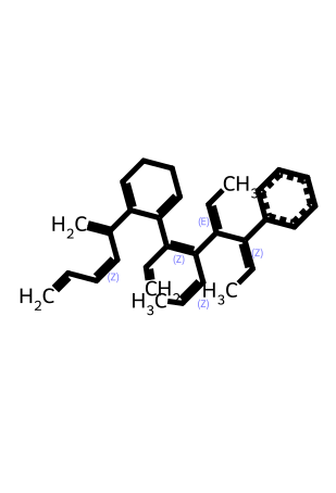 C=C/C=C\C(=C)C1=CCCC=C1/C(C=C)=C(/C=C\C)C(=C\C)\C(=C/C)c1ccccc1